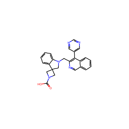 O=C(O)N1CC2(C1)CN(Cc1ncc3ccccc3c1-c1cncnc1)c1ccccc12